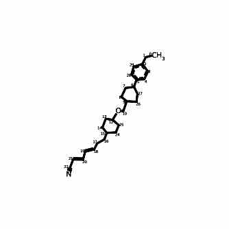 CCc1ccc(C2CCC(COC3CCC(CCC=CC=CC#N)CC3)CC2)cc1